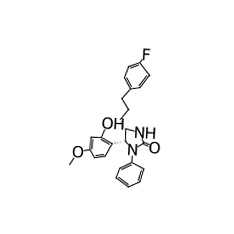 COc1ccc([C@@H]2[C@H](CCCc3ccc(F)cc3)NC(=O)N2c2ccccc2)c(O)c1